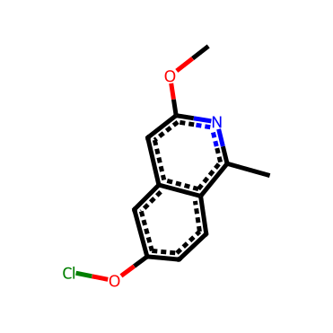 COc1cc2cc(OCl)ccc2c(C)n1